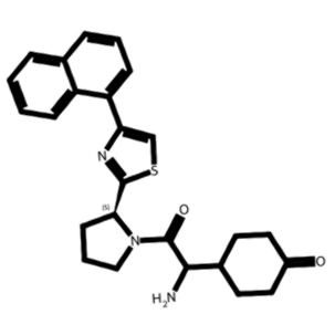 NC(C(=O)N1CCC[C@H]1c1nc(-c2cccc3ccccc23)cs1)C1CCC(=O)CC1